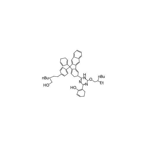 CCCCC(CO)CCc1ccc(C2(C3=CCCC=C3)C3=CCC(C4=NC(C5=C(O)C=CCC5)=NC(OCC(CC)CCCC)N4)C=C3c3cc4ccccc4cc32)cc1